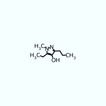 CCCc1nn(C)c(CC)c1O